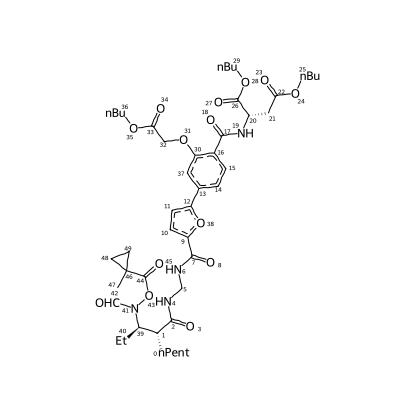 CCCCC[C@@H](C(=O)NCNC(=O)c1ccc(-c2ccc(C(=O)N[C@@H](CC(=O)OCCCC)C(=O)OCCCC)c(OCC(=O)OCCCC)c2)o1)[C@@H](CC)N(C=O)OC(=O)C1(C)CC1